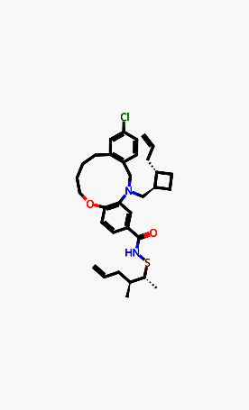 C=CC[C@@H]1CC[C@H]1CN1Cc2ccc(Cl)cc2CCCCOc2ccc(C(=O)NS[C@H](C)[C@@H](C)CC=C)cc21